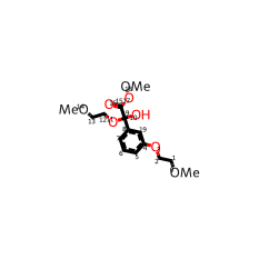 COCCOc1cccc(C(O)(OCCOC)C(=O)OOC)c1